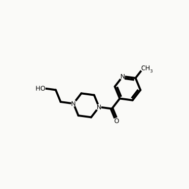 Cc1ccc(C(=O)N2CCN(CCO)CC2)cn1